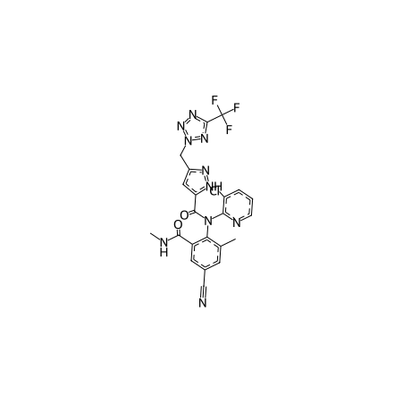 CNC(=O)c1cc(C#N)cc(C)c1N(C(=O)c1cc(Cn2nnc(C(F)(F)F)n2)n[nH]1)c1ncccc1Cl